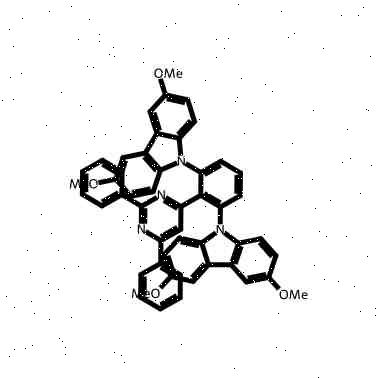 COc1ccc2c(c1)c1cc(OC)ccc1n2-c1cccc(-n2c3ccc(OC)cc3c3cc(OC)ccc32)c1-c1cc(-c2ccccc2)nc(-c2ccccc2)n1